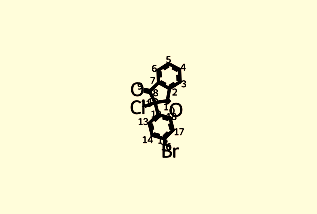 O=C1c2ccccc2C(=O)C1(Cl)c1ccc(Br)cc1